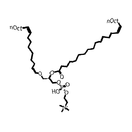 CCCCCCCC/C=C\CCCCCC/C=C\OC[C@H](COP(=O)(O)OCC[N+](C)(C)C)OC(=O)CCCCCCCCCCCCC/C=C\CCCCCCCC